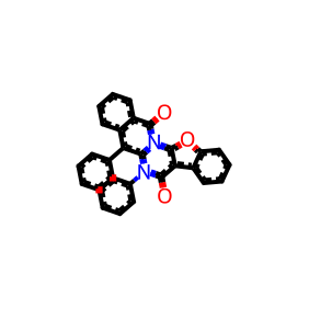 O=c1c2c3ccccc3oc2n2c(=O)c3ccccc3c(-c3ccccc3)c2n1-c1ccccc1